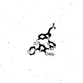 COc1nc(N2CCOCC2)c([N+](=O)[O-])cc1Nc1nccc(-n2cc(CN(C)C)c3ccc(F)cc32)n1